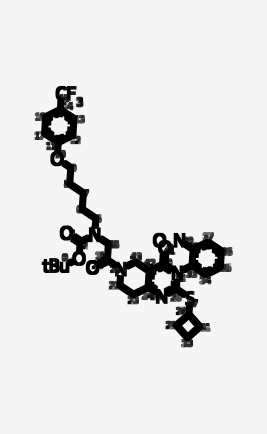 CC(C)(C)OC(=O)N(CCCCCOc1ccc(C(F)(F)F)cc1)CC(=O)N1CCc2nc(SC3CCC3)n(-c3ccccc3[N+](=O)[O-])c(=O)c2C1